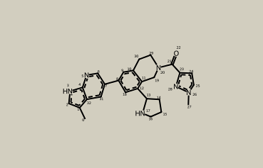 Cc1c[nH]c2ncc(-c3cc4c(c(C5CCCN5)c3)CN(C(=O)c3ccn(C)n3)CC4)cc12